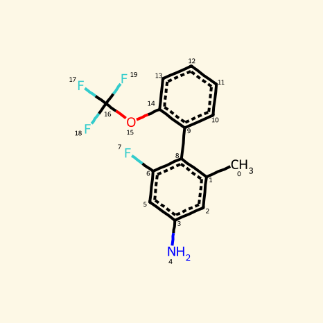 Cc1cc(N)cc(F)c1-c1ccccc1OC(F)(F)F